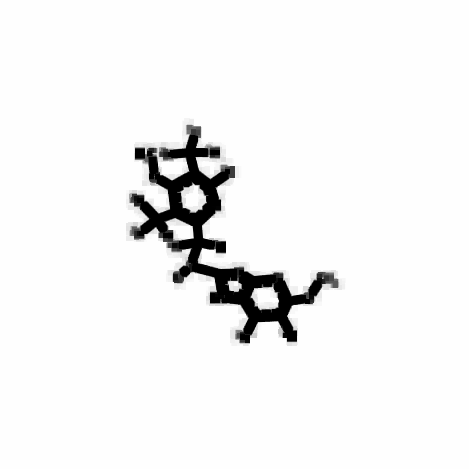 [2H]c1nc(C([2H])([2H])[S+]([O-])c2nc3nc(OC)c([2H])c([2H])c3[nH]2)c(C([2H])([2H])[2H])c(OC)c1C([2H])([2H])[2H]